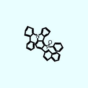 O=P1(c2ccccc2)c2c(ccc3ccccc23)-c2ccc3c(c21)c1ccccc1n3-c1ccccc1-c1ccccc1